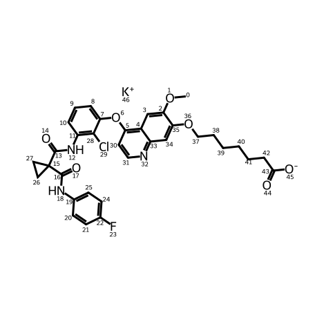 COc1cc2c(Oc3cccc(NC(=O)C4(C(=O)Nc5ccc(F)cc5)CC4)c3Cl)ccnc2cc1OCCCCCCC(=O)[O-].[K+]